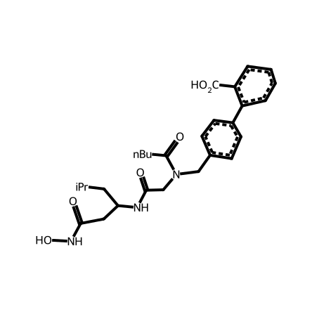 CCCCC(=O)N(CC(=O)NC(CC(=O)NO)CC(C)C)Cc1ccc(-c2ccccc2C(=O)O)cc1